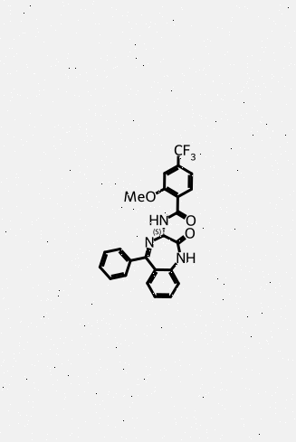 COc1cc(C(F)(F)F)ccc1C(=O)N[C@H]1N=C(c2ccccc2)c2ccccc2NC1=O